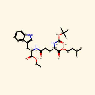 CCOC(=O)[C@@H](Cc1c[nH]c2ccccc12)NC(=O)CC[C@@H](NC(=O)OC(C)(C)C)C(=O)OCCC(C)C